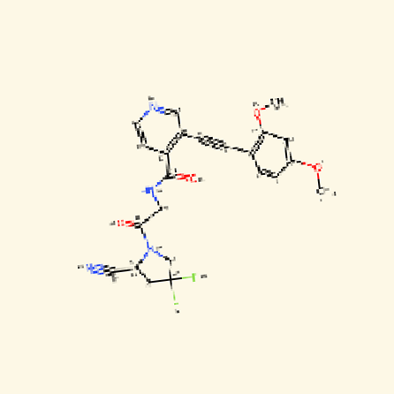 COc1ccc(C#Cc2cnccc2C(=O)NCC(=O)N2CC(F)(F)C[C@H]2C#N)c(OC)c1